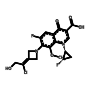 COc1c(N2CC(=C(Cl)CO)C2)c(F)cc2c(=O)c(C(=O)O)cn([C@@H]3C[C@@H]3F)c12